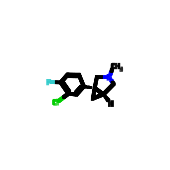 CN1C[C@@H]2C[C@@]2(c2ccc(F)c(Cl)c2)C1